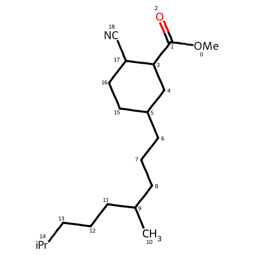 COC(=O)C1CC(CCCC(C)CCCC(C)C)CCC1C#N